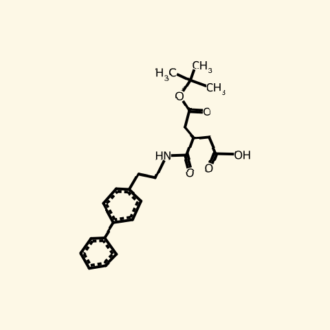 CC(C)(C)OC(=O)CC(CC(=O)O)C(=O)NCCc1ccc(-c2ccccc2)cc1